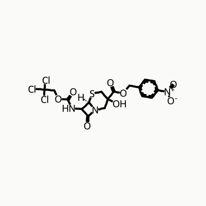 O=C(NC1C(=O)N2CC(O)(C(=O)OCc3ccc([N+](=O)[O-])cc3)CS[C@H]12)OCC(Cl)(Cl)Cl